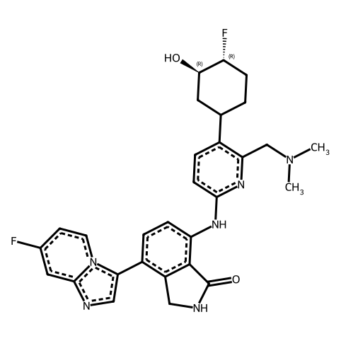 CN(C)Cc1nc(Nc2ccc(-c3cnc4cc(F)ccn34)c3c2C(=O)NC3)ccc1C1CC[C@@H](F)[C@H](O)C1